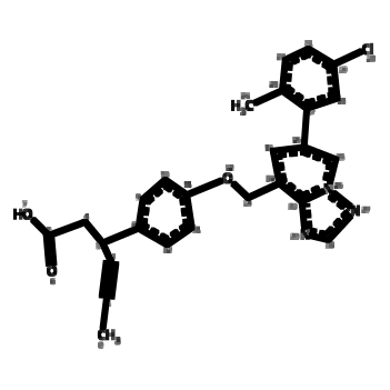 CC#CC(CC(=O)O)c1ccc(OCc2cc(-c3cc(Cl)ccc3C)cn3ncnc23)cc1